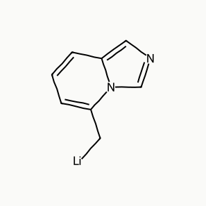 [Li][CH2]c1cccc2cncn12